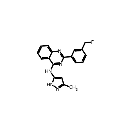 Cc1cc(Nc2nc(-c3cccc(CF)c3)nc3ccccc23)[nH]n1